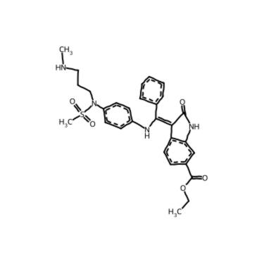 CCOC(=O)c1ccc2c(c1)NC(=O)C2=C(Nc1ccc(N(CCCNC)S(C)(=O)=O)cc1)c1ccccc1